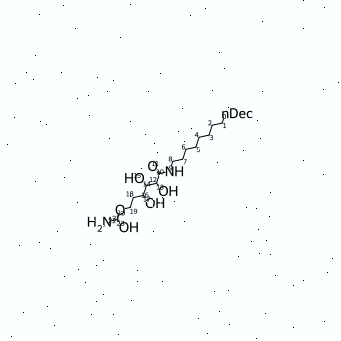 CCCCCCCCCCCCCCCCCCNC(=O)C(O)C(O)C(O)CCOC(N)O